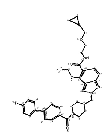 O=C(NCCOCC1CC1)c1ccc2nn(CC3CCN(C(=O)c4ccc(-c5ccc(F)cc5)cc4)CC3)cc2c1OCC(F)(F)F